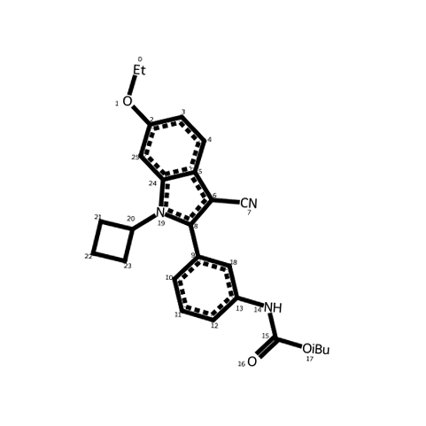 CCOc1ccc2c(C#N)c(-c3cccc(NC(=O)OCC(C)C)c3)n(C3CCC3)c2c1